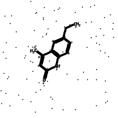 CCc1ccc2[nH]c(=O)cc(C)c2c1